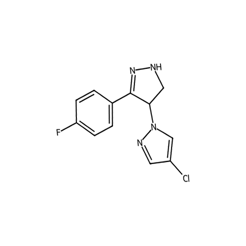 Fc1ccc(C2=NNCC2n2cc(Cl)cn2)cc1